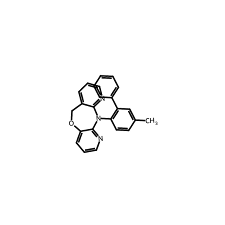 Cc1ccc(N2c3ncccc3COc3cccnc32)c(-c2ccccc2)c1